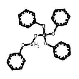 c1ccc(O[SiH2]O[Si](Oc2ccccc2)(Oc2ccccc2)Oc2ccccc2)cc1